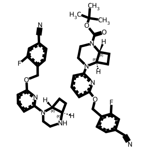 CC(C)(C)OC(=O)N1CCN(c2cccc(OCc3ccc(C#N)cc3F)n2)[C@@H]2CC[C@H]21.N#Cc1ccc(COc2cccc(N3CCN[C@@H]4CC[C@H]43)n2)c(F)c1